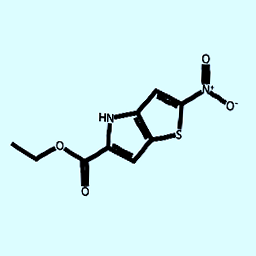 CCOC(=O)c1cc2sc([N+](=O)[O-])cc2[nH]1